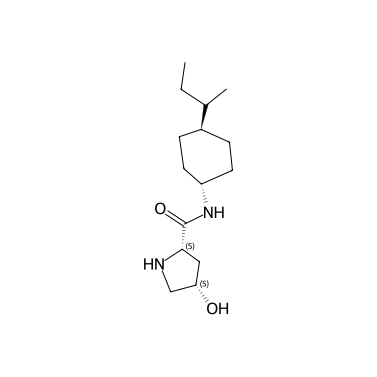 CCC(C)[C@H]1CC[C@H](NC(=O)[C@@H]2C[C@H](O)CN2)CC1